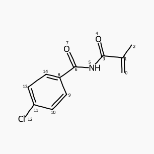 C=C(C)C(=O)NC(=O)c1ccc(Cl)cc1